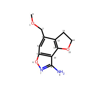 COCc1cc2onc(N)c2c2c1CCO2